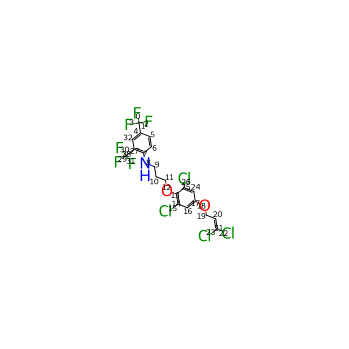 FC(F)(F)c1ccc(NCCCOc2c(Cl)cc(OCC=C(Cl)Cl)cc2Cl)c(C(F)(F)F)c1